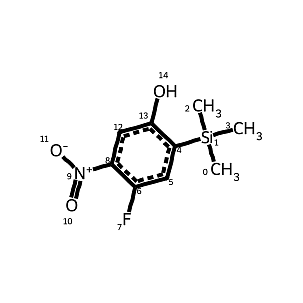 C[Si](C)(C)c1cc(F)c([N+](=O)[O-])cc1O